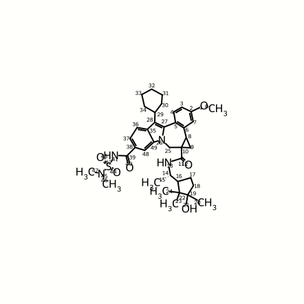 COc1ccc2c(c1)C1CC1(C(=O)N[C@@H](C)C1CCC(C)(O)C1(C)C)Cn1c-2c(C2CCCCC2)c2ccc(C(=O)NS(=O)(=O)N(C)C)cc21